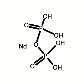 O=P(O)(O)OP(=O)(O)O.[Nd]